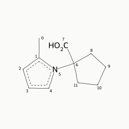 Cc1cccn1C1(C(=O)O)CCCC1